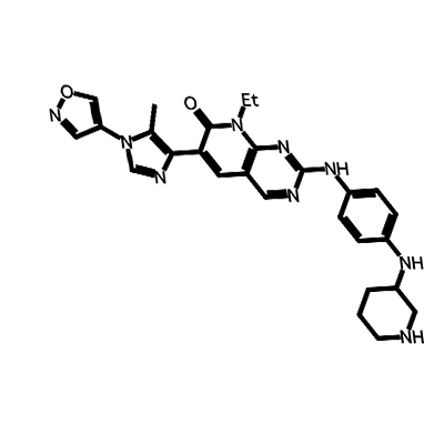 CCn1c(=O)c(-c2ncn(-c3cnoc3)c2C)cc2cnc(Nc3ccc(NC4CCCNC4)cc3)nc21